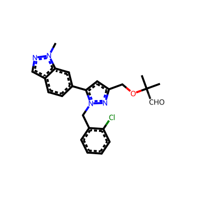 Cn1ncc2ccc(-c3cc(COC(C)(C)C=O)nn3Cc3ccccc3Cl)cc21